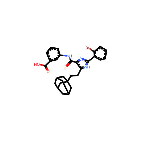 O=C(O)c1cccc(NC(=O)c2nc(-c3ccccc3Br)[nH]c2CCC23CC4CC(CC(C4)C2)C3)c1